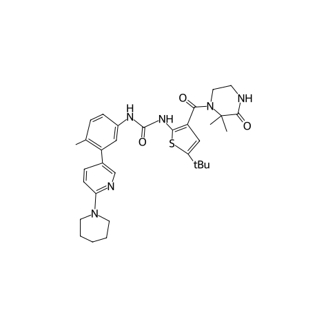 Cc1ccc(NC(=O)Nc2sc(C(C)(C)C)cc2C(=O)N2CCNC(=O)C2(C)C)cc1-c1ccc(N2CCCCC2)nc1